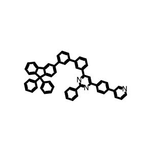 c1ccc(-c2nc(-c3ccc(-c4cccnc4)cc3)cc(-c3cccc(-c4cccc(-c5ccc6c(c5)-c5ccccc5C6(c5ccccc5)c5ccccc5)c4)c3)n2)cc1